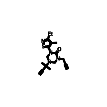 C#CCN1CN(C(C)(C)C#C)CN(c2snc(CC)c2C)C1=O